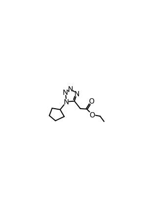 CCOC(=O)Cc1nnnn1C1CCCC1